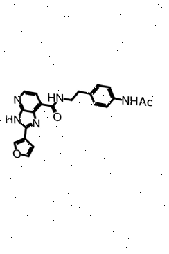 CC(=O)Nc1ccc(CCNC(=O)c2ccnc3[nH]c(-c4ccoc4)nc23)cc1